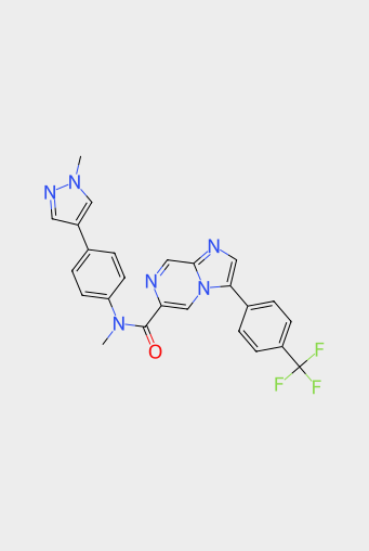 CN(C(=O)c1cn2c(-c3ccc(C(F)(F)F)cc3)cnc2cn1)c1ccc(-c2cnn(C)c2)cc1